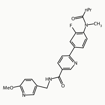 CCCC(=O)N(C)c1ccc(-c2ccc(C(=O)NCc3ccc(OC)nc3)cn2)cc1F